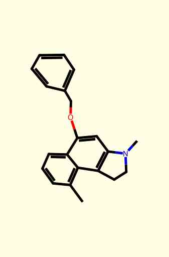 Cc1cccc2c(OCc3ccccc3)cc3c(c12)CCN3C